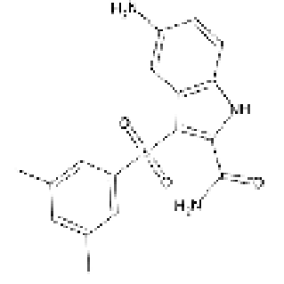 Cc1cc(C)cc(S(=O)(=O)c2c(C(N)=O)[nH]c3ccc(N)cc23)c1